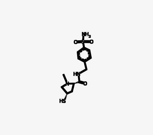 CN1C[C@@H](S)C[C@H]1C(=O)NCc1ccc(S(N)(=O)=O)cc1